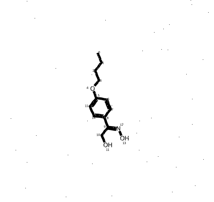 CCCCOc1ccc(C(CO)=NO)cc1